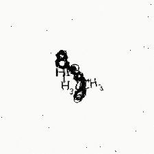 C[N+](C)(Cc1ccc(NC(=O)C2=Cc3ccccc3CCC2)cc1)C1CCOCC1.[I-]